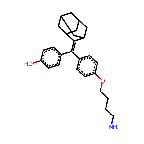 NCCCCOc1ccc(C(=C2C3CC4CC(C3)CC2C4)c2ccc(O)cc2)cc1